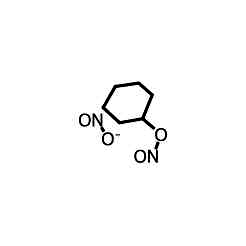 O=NOC1CCCCC1.O=[NH+][O-]